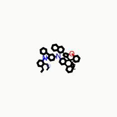 C=Cc1cccc(-n2c3ccccc3c3cc(N(c4ccc5c(c4)C4(c6ccccc6Oc6ccccc64)c4cccc6cccc-5c46)c4cccc5ccccc45)ccc32)c1/C=C\C